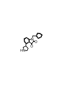 O=C1C(=O)N(Cc2ccccc2)c2cccc(C3CCNC3)c21